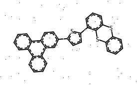 c1ccc2c(c1)Sc1cccc(-c3ccc(-c4ccc5c6ccccc6c6ccccc6c5c4)s3)c1S2